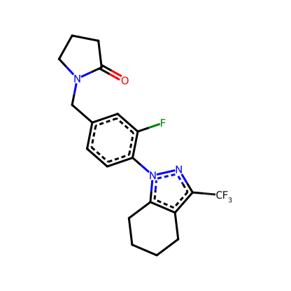 O=C1CCCN1Cc1ccc(-n2nc(C(F)(F)F)c3c2CCCC3)c(F)c1